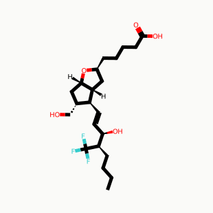 CCCC[C@H]([C@H](O)/C=C/[C@H]1[C@H](CO)C[C@@H]2O[C@@H](CCCCC(=O)O)C[C@H]12)C(F)(F)F